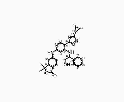 CC1(C)OC(=O)c2ccc(Nc3cc(NC(CO)c4ccccc4)c(-c4nc(C5CC5)no4)cn3)cc21